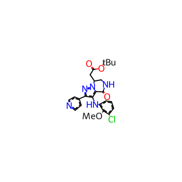 COc1c(Cl)cccc1Nc1c(-c2ccncc2)nn2c1C(=O)NCC2CC(=O)OC(C)(C)C